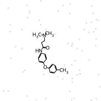 Cc1ccc(Oc2ccc(NC(=O)CCN(C)C)cc2)cc1